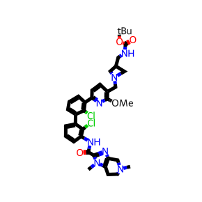 COc1nc(-c2cccc(-c3cccc(NC(=O)c4nc5c(n4C)CCN(C)C5)c3Cl)c2Cl)ccc1CN1CC(CNC(=O)OC(C)(C)C)C1